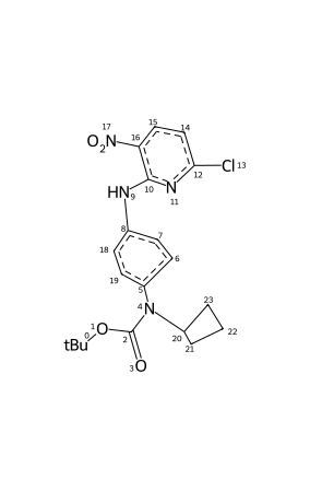 CC(C)(C)OC(=O)N(c1ccc(Nc2nc(Cl)ccc2[N+](=O)[O-])cc1)C1CCC1